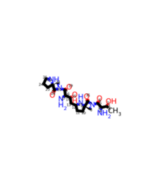 CC(O)C(N)C(=O)N1C[C@]2(CCC(CC(O)C(N)C(=O)N3C[C@@]4(CCCN4)C3=O)N2)C1=O